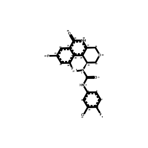 CN(C(=O)Nc1ccc(F)c(Cl)c1)[C@@H]1COCc2[nH]c(=O)c3cc(F)cc(F)c3c21